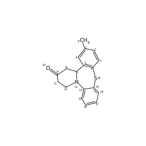 Cc1ccc2c(c1)C1CC(=O)CCN1c1ccccc1S2